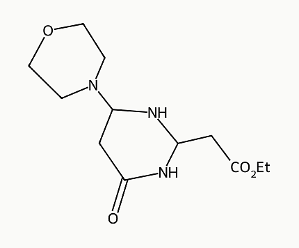 CCOC(=O)CC1NC(=O)CC(N2CCOCC2)N1